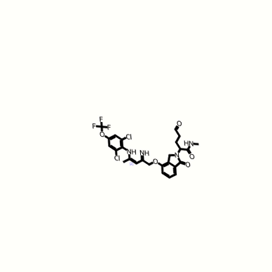 CNC(=O)C(CCC=O)N1Cc2c(OCC(=N)/C=C(/C)Nc3c(Cl)cc(OC(F)(F)F)cc3Cl)cccc2C1=O